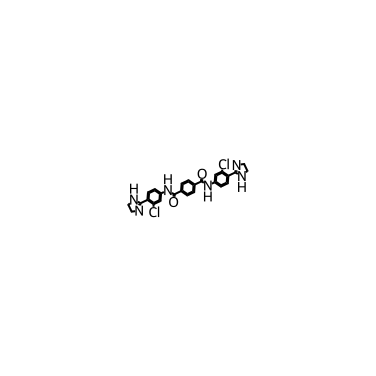 O=C(Nc1ccc(C2=NCCN2)c(Cl)c1)c1ccc(C(=O)Nc2ccc(C3=NCCN3)c(Cl)c2)cc1